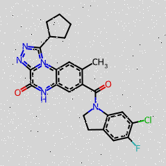 Cc1cc2c(cc1C(=O)N1CCc3cc(F)c(Cl)cc31)[nH]c(=O)c1nnc(C3CCCC3)n12